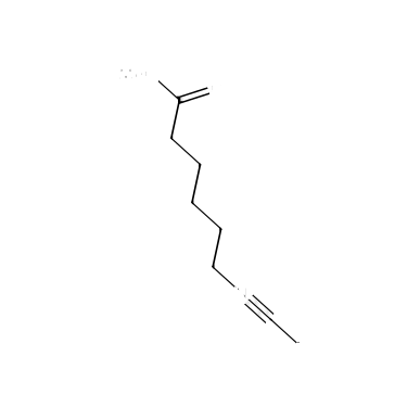 COC(=O)CCCCC[N+]#CI